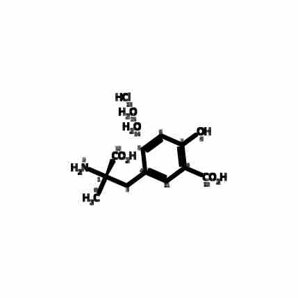 C[C@](N)(Cc1ccc(O)c(C(=O)O)c1)C(=O)O.Cl.O.O